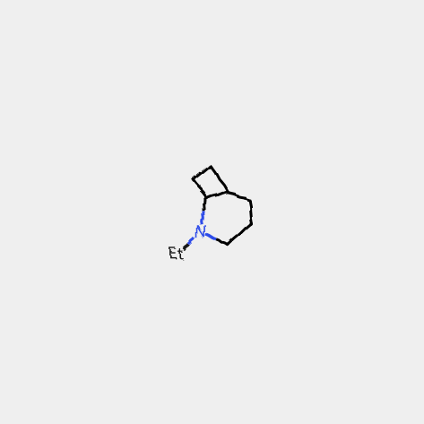 CCN1CCCC2CCC21